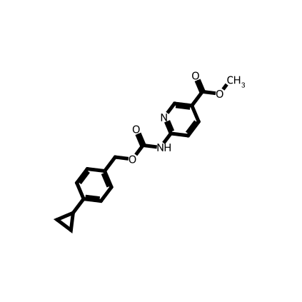 COC(=O)c1ccc(NC(=O)OCc2ccc(C3CC3)cc2)nc1